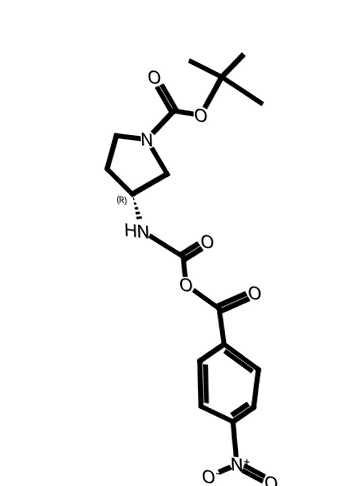 CC(C)(C)OC(=O)N1CC[C@@H](NC(=O)OC(=O)c2ccc([N+](=O)[O-])cc2)C1